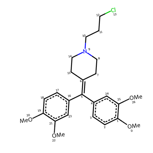 COc1ccc(C(=C2CCN(CCCCl)CC2)c2ccc(OC)c(OC)c2)cc1OC